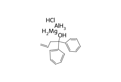 C=CCC(O)(c1ccccc1)c1ccccc1.Cl.[AlH3].[MgH2]